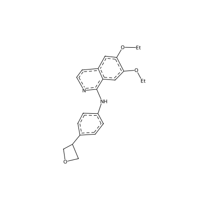 CCOc1cc2ccnc(Nc3ccc(C4COC4)cc3)c2cc1OCC